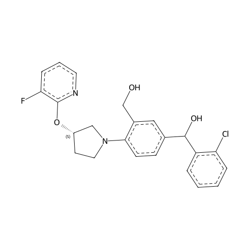 OCc1cc(C(O)c2ccccc2Cl)ccc1N1CC[C@H](Oc2ncccc2F)C1